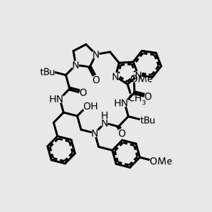 COC(=O)NC(C(=O)NN(Cc1ccc(OC)cc1)CC(O)C(Cc1ccccc1)NC(=O)C(N1CCN(Cc2nc(C)n3ccccc23)C1=O)C(C)(C)C)C(C)(C)C